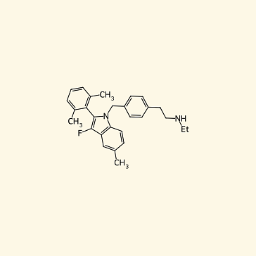 CCNCCc1ccc(Cn2c(-c3c(C)cccc3C)c(F)c3cc(C)ccc32)cc1